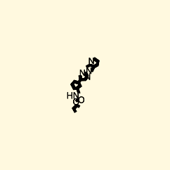 C/C=C(\C)OC(=O)NCc1cccc(-c2cnc(N3Cc4cccnc4C3)nc2)c1